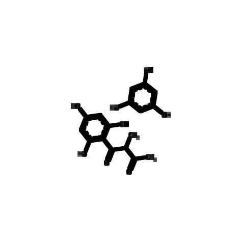 CC(=O)C(C)C(=O)c1c(O)cc(O)cc1O.Oc1cc(O)cc(O)c1